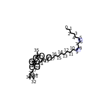 CCCCC/C=C\C/C=C\CCCCCCCCOC[C@H](COP(=O)([O-])OCC[N+](C)(C)C)OC(C)=O